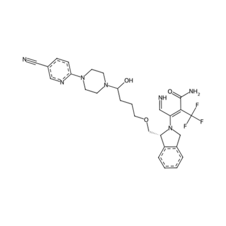 N#Cc1ccc(N2CCN(C(O)CCCOC[C@H]3c4ccccc4CN3/C(C=N)=C(/C(N)=O)C(F)(F)F)CC2)nc1